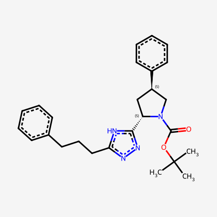 CC(C)(C)OC(=O)N1C[C@H](c2ccccc2)C[C@H]1c1nnc(CCCc2ccccc2)[nH]1